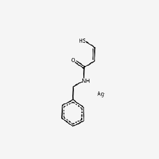 O=C(/C=C\S)NCc1ccccc1.[Ag]